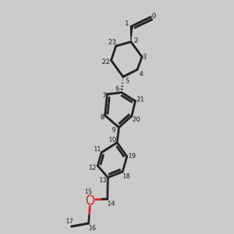 C=C[C@H]1CC[C@H](c2ccc(-c3ccc(COCC)cc3)cc2)CC1